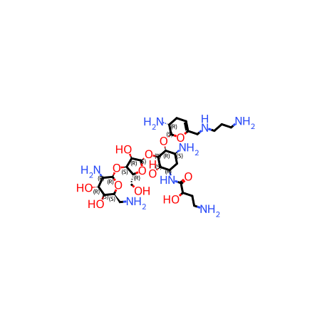 NCCCNCC1=CC[C@@H](N)[C@@H](O[C@H]2[C@H](O[C@@H]3O[C@H](CO)[C@@H](O[C@H]4O[C@@H](CN)[C@@H](O)[C@H](O)[C@H]4N)[C@H]3O)[C@@H](O)[C@H](NC(=O)C(O)CCN)C[C@@H]2N)O1